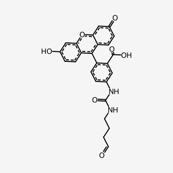 O=CCCCNC(=O)Nc1ccc(-c2c3ccc(=O)cc-3oc3cc(O)ccc23)c(C(=O)O)c1